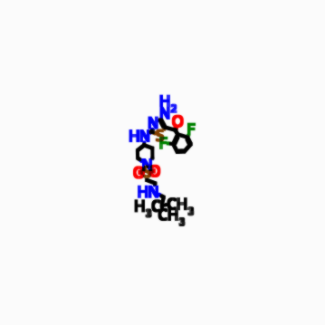 CC(C)(C)CNCCS(=O)(=O)N1CCC(Nc2nc(N)c(C(=O)c3c(F)cccc3F)s2)CC1